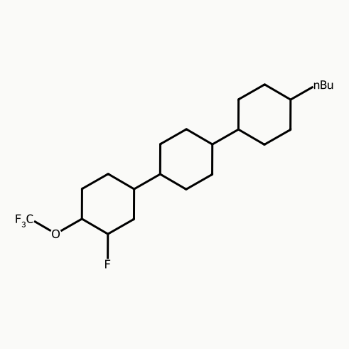 CCCCC1CCC(C2CCC(C3CCC(OC(F)(F)F)C(F)C3)CC2)CC1